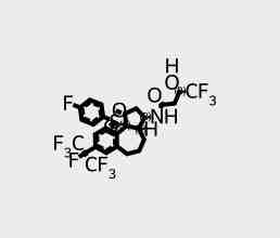 O=C(C[C@@H](O)C(F)(F)F)N[C@@H]1CC[C@@]2(S(=O)(=O)c3ccc(F)cc3)c3ccc(C(F)(C(F)(F)F)C(F)(F)F)cc3CCC[C@@H]12